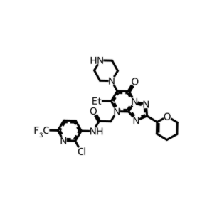 CCc1c(N2CCNCC2)c(=O)n2nc(C3=CCCCO3)nc2n1CC(=O)Nc1ccc(C(F)(F)F)nc1Cl